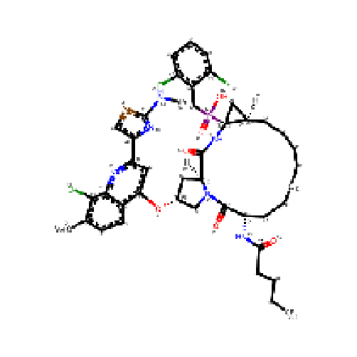 COc1ccc2c(O[C@@H]3C[C@H]4C(=O)N[C@]5(P(=O)(O)Cc6c(F)cccc6F)C[C@H]5CCCCCCC[C@H](NC(=O)CCCC(F)(F)F)C(=O)N4C3)cc(-c3csc(NC(C)C)n3)nc2c1Cl